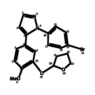 COc1ccc(-c2ccnn2-c2ccc(Br)cc2)cc1OC1CCCO1